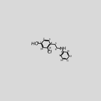 Oc1ccc(CCNc2ccccc2)c(Cl)c1